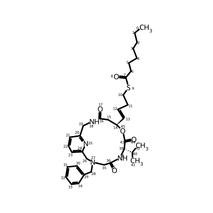 CCCCCCCC(=O)SCC/C=C/[C@@H]1CC(=O)NCc2cccc(n2)CN(Cc2ccccc2)CC(=O)N[C@@H](C(C)C)C(=O)O1